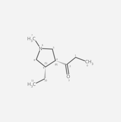 CCC(=O)[C@H]1CN(C)C[C@H]1CC